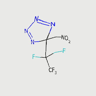 O=[N+]([O-])C1(C(F)(F)C(F)(F)F)N=NN=N1